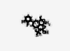 CC(=O)N1C[C@H](c2cccc(F)c2F)CC[C@@H](N(C(=O)O)C(C)(C)C)C1CN